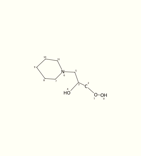 OOCC(O)CN1CCCCC1